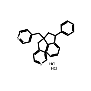 Cl.Cl.c1ccc(C2CC(Cc3ccncc3)(Cc3ccncc3)c3ccccc32)cc1